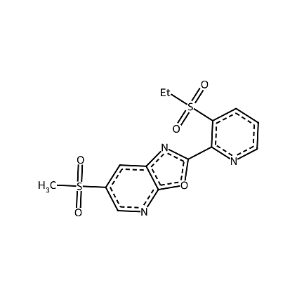 CCS(=O)(=O)c1cccnc1-c1nc2cc(S(C)(=O)=O)cnc2o1